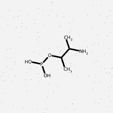 CC(N)C(C)OP(O)O